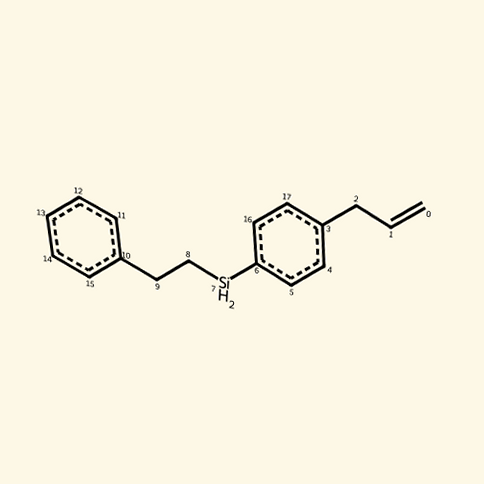 C=CCc1ccc([SiH2]CCc2ccccc2)cc1